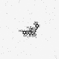 Cc1cc(O)cc(C)c1CC(NC(=O)OC(C)(C)C)C(=O)N[C@H](C)C(=O)NCCCc1ccc2c(c1)OCO2